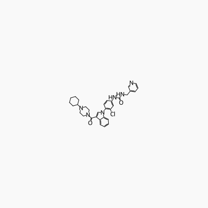 O=C(NCc1cccnc1)Nc1ccc(-n2cc(C(=O)N3CCN(C4CCCCC4)CC3)c3ccccc32)c(Cl)c1